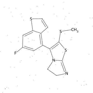 CSC1=C(c2cc(F)cc3sccc23)N2CCN=C2S1